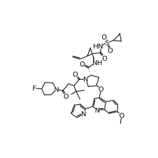 C=CC1C[C@]1(NC(=O)[C@@H]1C[C@@H](Oc2cc(-c3ccccn3)nc3cc(OC)ccc23)CN1C(=O)C(CC(=O)N1CCC(F)CC1)C(C)(C)C)C(=O)NS(=O)(=O)C1CC1